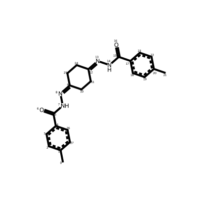 Cc1ccc(C(=O)NN=C2CCC(=NNC(=O)c3ccc(C)cc3)CC2)cc1